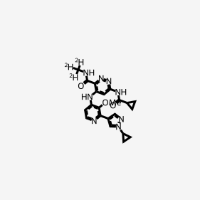 [2H]C([2H])([2H])NC(=O)c1nnc(NC(=O)C2CC2)cc1Nc1ccnc(-c2cnn(C3CC3)c2)c1OC